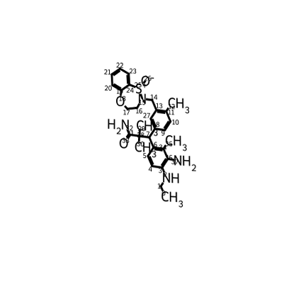 CCNc1ccc(C(c2ccc(C)c(CN3CCOc4ccccc4[S+]3[O-])c2)C(C)(C)C(N)=O)c(C)c1N